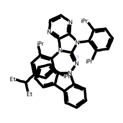 CCC(CC)c1cc(C(C)C)c(-n2/c(=N\n3c4ccccc4c4ccccc43)n(-c3c(C(C)C)cccc3C(C)C)c3nccnc32)c(C(C)C)c1